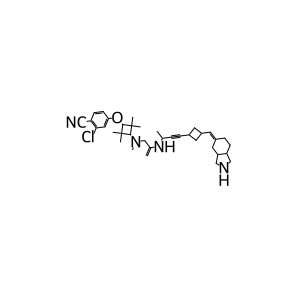 C=C(CN(C)[C@H]1C(C)(C)[C@H](Oc2ccc(C#N)c(Cl)c2)C1(C)C)NC(C)C#CC1CC(/C=C2/CCC3CNCC3C2)C1